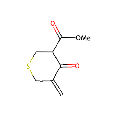 C=C1CSCC(C(=O)OC)C1=O